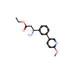 CCOC(=O)C[C@H](N)c1cccc(-c2ccc(OC)nc2)c1